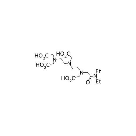 CCN(CC)C(=O)CN(CCN(CCN(CC(=O)O)CC(=O)O)CC(=O)O)CC(=O)O